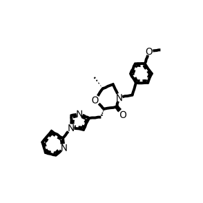 COc1ccc(CN2C[C@@H](C)O[C@@H](Cc3cn(-c4ccccn4)cn3)C2=O)cc1